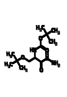 CC(C)(C)OCC(NC(=O)OC(C)(C)C)C(=O)NN